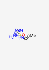 COc1cccc(NC(=O)CSc2nc(N)nc3nc[nH]c23)c1